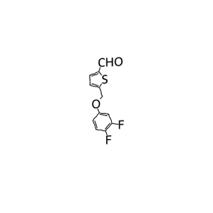 O=Cc1ccc(COc2ccc(F)c(F)c2)s1